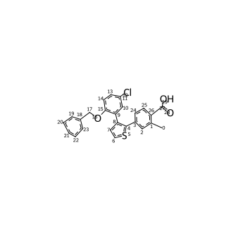 Cc1cc(-c2sccc2-c2cc(Cl)ccc2OCc2ccccc2)ccc1C(=O)O